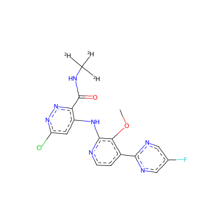 [2H]C([2H])([2H])NC(=O)c1nnc(Cl)cc1Nc1nccc(-c2ncc(F)cn2)c1OC